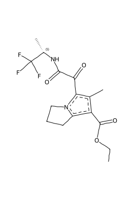 CCOC(=O)c1c(C)c(C(=O)C(=O)N[C@@H](C)C(F)(F)F)n2c1CCC2